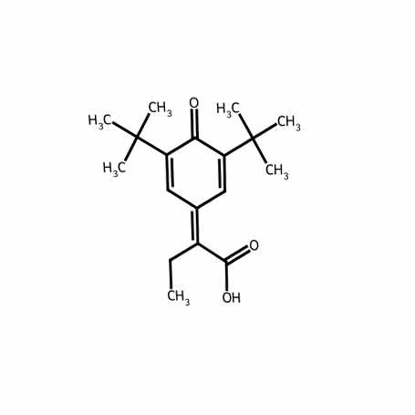 CCC(C(=O)O)=C1C=C(C(C)(C)C)C(=O)C(C(C)(C)C)=C1